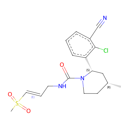 C[C@@H]1CCN(C(=O)NC/C=C/S(C)(=O)=O)[C@H](c2cccc(C#N)c2Cl)C1